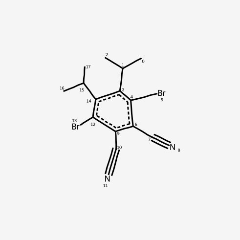 CC(C)c1c(Br)c(C#N)c(C#N)c(Br)c1C(C)C